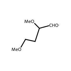 COCCC([C]=O)OC